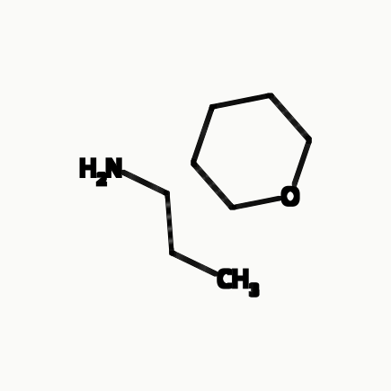 C1CCOCC1.CCCN